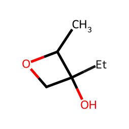 CCC1(O)COC1C